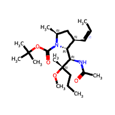 C/C=C\[C@@H]1C[C@H](C)N(C(=O)OC(C)(C)C)[C@H]1[C@@H](NC(C)=O)[C@](C)(CCC)OC